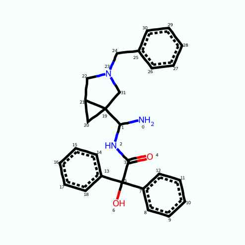 NC(NC(=O)C(O)(c1ccccc1)c1ccccc1)C12CC1CN(Cc1ccccc1)C2